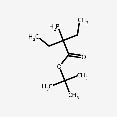 CCC(P)(CC)C(=O)OC(C)(C)C